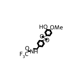 COc1ccc(S(=O)(=O)c2ccc(CCNC(=O)C(F)(F)F)cc2)cc1O